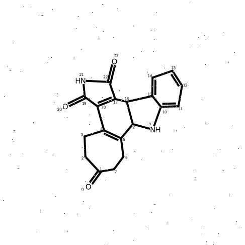 O=C1CCC2=C(CC1)C1Nc3ccccc3C1C1=C2C(=O)NC1=O